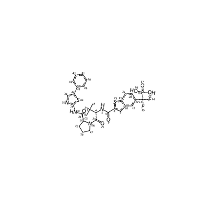 CC(C)(C)C(NC(=O)c1cc2cc(C(F)(F)P(=O)(O)O)ccc2s1)C(=O)N1CCC[C@H]1C(=O)Nc1ncc(-c2ccccc2)s1